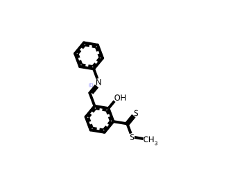 CSC(=S)c1cccc(/C=N/c2ccccc2)c1O